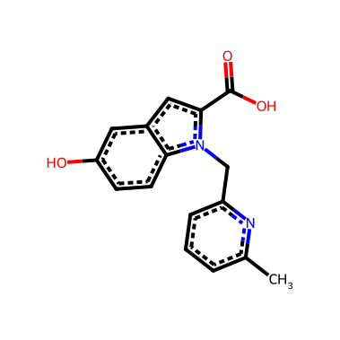 Cc1cccc(Cn2c(C(=O)O)cc3cc(O)ccc32)n1